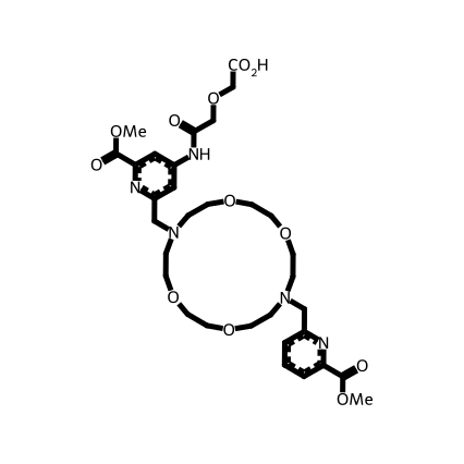 COC(=O)c1cccc(CN2CCOCCOCCN(Cc3cc(NC(=O)COCC(=O)O)cc(C(=O)OC)n3)CCOCCOCC2)n1